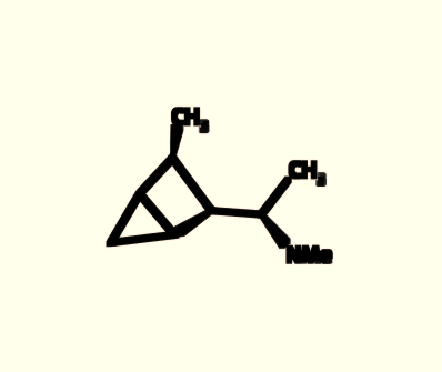 CN[C@H](C)[C@H]1C2CC2[C@H]1C